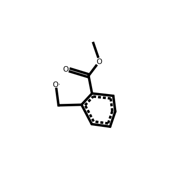 COC(=O)c1ccccc1C[O]